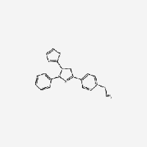 NCc1ccc(C2=NN(c3ccccc3)C(c3cccs3)C2)cc1